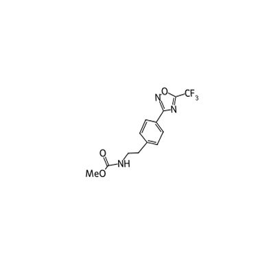 COC(=O)NCCc1ccc(-c2noc(C(F)(F)F)n2)cc1